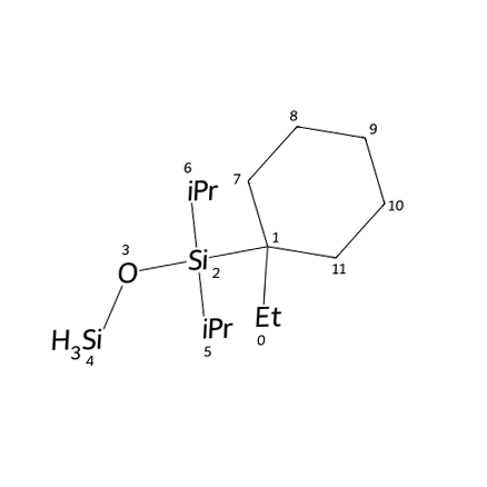 CCC1([Si](O[SiH3])(C(C)C)C(C)C)CCCCC1